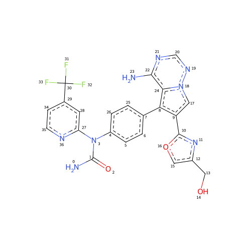 NC(=O)N(c1ccc(-c2c(-c3nc(CO)co3)cn3ncnc(N)c23)cc1)c1cc(C(F)(F)F)ccn1